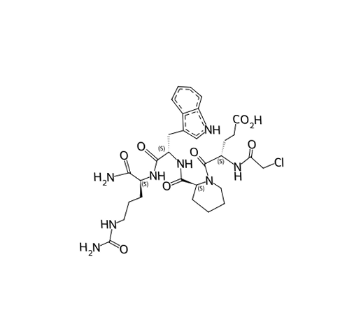 NC(=O)NCCC[C@H](NC(=O)[C@H](Cc1c[nH]c2ccccc12)NC(=O)[C@@H]1CCCCN1C(=O)[C@H](CCC(=O)O)NC(=O)CCl)C(N)=O